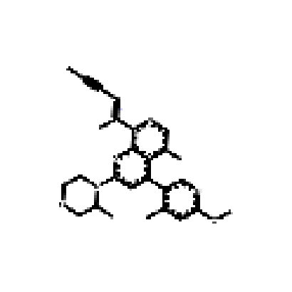 CC#C/C=C(\C)c1ncc(F)c2c(-c3cnc(OC)cc3C)cc(N3CCOCC3C)nc12